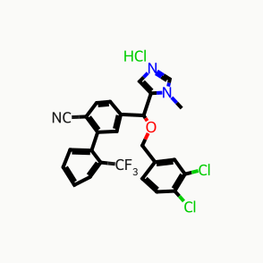 Cl.Cn1cncc1C(OCc1ccc(Cl)c(Cl)c1)c1ccc(C#N)c(-c2ccccc2C(F)(F)F)c1